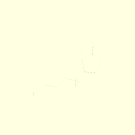 CCCCNC1CCC(C)C1